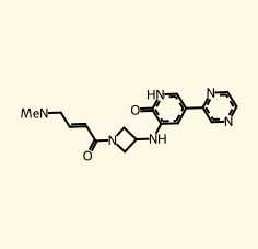 CNCC=CC(=O)N1CC(Nc2cc(-c3cnccn3)c[nH]c2=O)C1